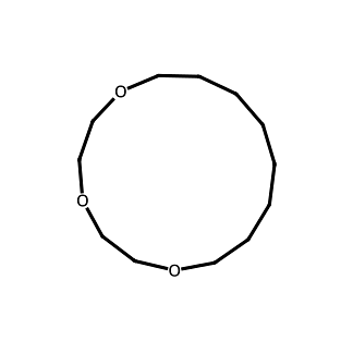 C1CCCCOCCOCCOCCC1